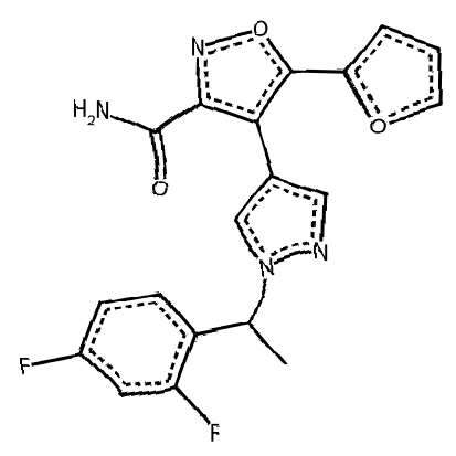 CC(c1ccc(F)cc1F)n1cc(-c2c(C(N)=O)noc2-c2ccco2)cn1